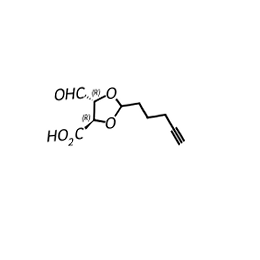 C#CCCCC1O[C@@H](C=O)[C@H](C(=O)O)O1